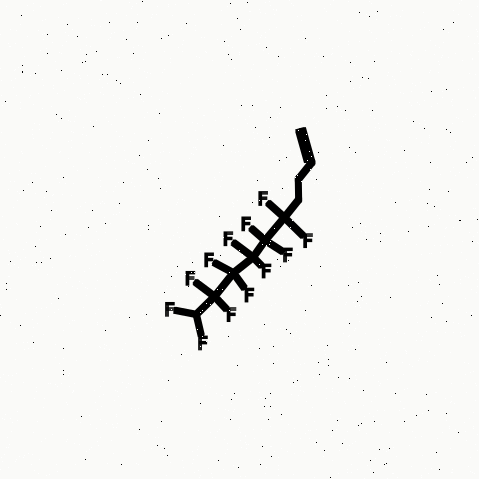 C=CCCC(F)(F)C(F)(F)C(F)(F)C(F)(F)C(F)(F)C(F)F